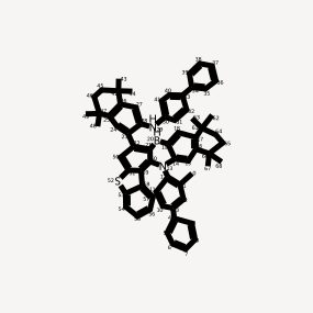 Cc1cc(-c2ccccc2)ccc1N1c2cc3c(cc2Bc2c(-c4cc5c(cc4Nc4ccc(-c6ccccc6)cc4)C(C)(C)CCC5(C)C)cc4sc5ccccc5c4c21)C(C)(C)CCC3(C)C